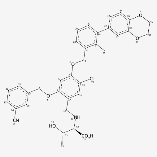 Cc1c(COc2cc(OCc3cccc(C#N)c3)c(CN[C@@H](C(=O)O)[C@H](C)O)cc2Cl)cccc1-c1ccc2c(c1)OCCO2